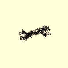 Cc1c(COc2cc(OCc3cncc(C#N)c3)c(CN[C@@H](CO)C(=O)OC(C)C)cc2Cl)cccc1-c1cccc2c1cnn2Cc1cc(OCc2cncc(C#N)c2)c(CN[C@@H](CO)C(=O)OC(C)C)cc1Cl